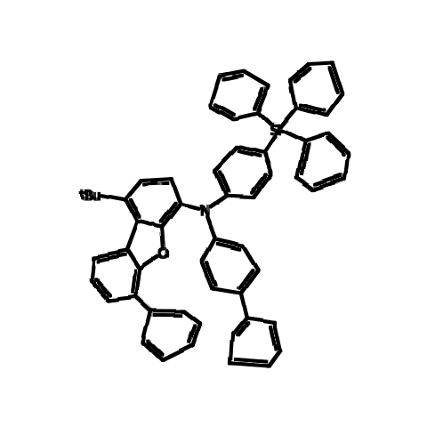 CC(C)(C)c1ccc(N(c2ccc(-c3ccccc3)cc2)c2ccc([Si](c3ccccc3)(c3ccccc3)c3ccccc3)cc2)c2oc3c(-c4ccccc4)cccc3c12